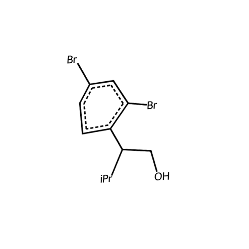 CC(C)C(CO)c1ccc(Br)cc1Br